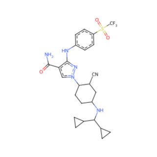 N#CC1CC(NC(C2CC2)C2CC2)CCC1n1cc(C(N)=O)c(Nc2ccc(S(=O)(=O)C(F)(F)F)cc2)n1